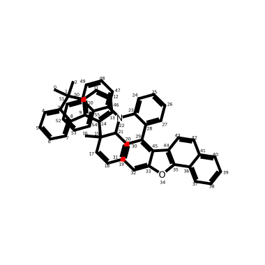 CC1(C)c2ccccc2-c2c1cccc2C1(C)C=CC=CC1N(c1ccccc1-c1cccc2oc3c4ccccc4ccc3c12)c1cccc2ccccc12